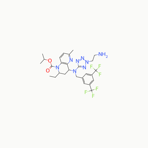 CCC1CC(N(Cc2cc(C(F)(F)F)cc(C(F)(F)F)c2)c2nnn(CCN)n2)c2nc(C)ccc2N1C(=O)OC(C)C